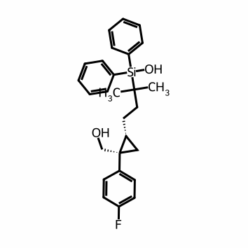 CC(C)(CC[C@@H]1C[C@@]1(CO)c1ccc(F)cc1)[Si](O)(c1ccccc1)c1ccccc1